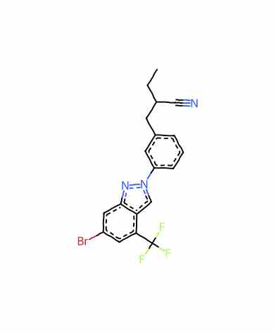 CCC(C#N)Cc1cccc(-n2cc3c(C(F)(F)F)cc(Br)cc3n2)c1